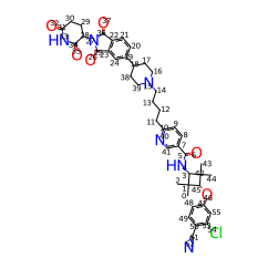 CC1(C)C(NC(=O)c2ccc(CCCCN3CCC(c4ccc5c(c4)C(=O)N(C4CCC(=O)NC4=O)C5=O)CC3)nc2)C(C)(C)C1Oc1ccc(C#N)c(Cl)c1